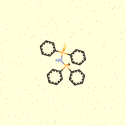 C=P(NP(=S)(c1ccccc1)c1ccccc1)(c1ccccc1)c1ccccc1